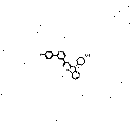 O=C(/N=c1\[nH]c2ccccc2n1[C@H]1CC[C@@H](O)CC1)c1ccnc(-c2ccc(F)cc2)c1